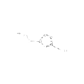 CC(C)(C)c1ccc(OC(=O)O)o1